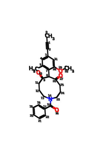 CC#Cc1cc(C)c(C2C(=O)CCCN(C(=O)c3ccccc3)CCCC2=O)c(OC)c1